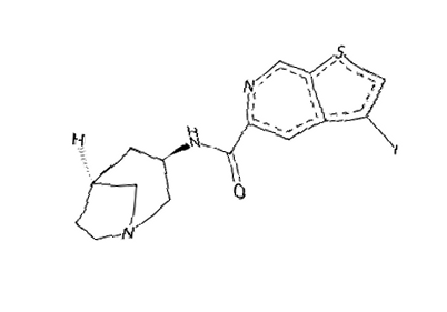 O=C(N[C@@H]1C[C@@H]2CCN(C2)C1)c1cc2c(I)csc2cn1